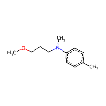 COCCCN(C)c1ccc(C)cc1